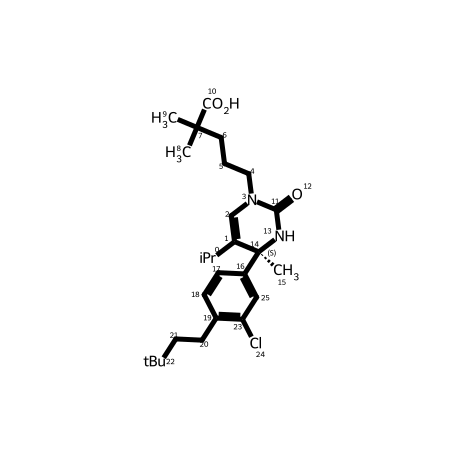 CC(C)C1=CN(CCCC(C)(C)C(=O)O)C(=O)N[C@@]1(C)c1ccc(CCC(C)(C)C)c(Cl)c1